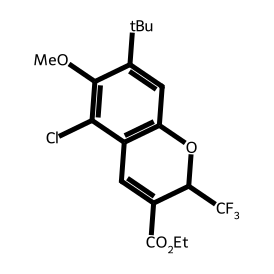 CCOC(=O)C1=Cc2c(cc(C(C)(C)C)c(OC)c2Cl)OC1C(F)(F)F